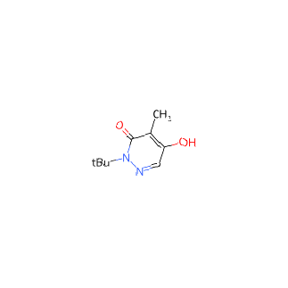 Cc1c(O)cnn(C(C)(C)C)c1=O